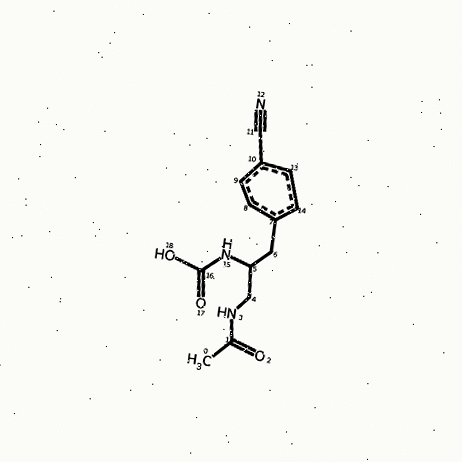 CC(=O)NCC(Cc1ccc(C#N)cc1)NC(=O)O